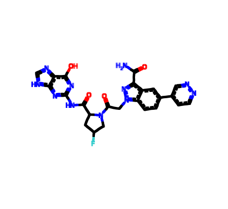 NC(=O)c1nn(CC(=O)N2CC(F)CC2C(=O)Nc2nc(O)c3nc[nH]c3n2)c2ccc(-c3ccnnc3)cc12